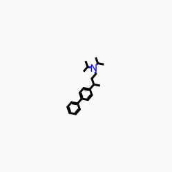 CC(CCN(C(C)C)C(C)C)c1ccc(-c2ccccc2)cc1